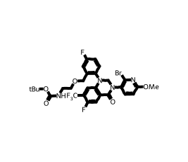 COc1ccc(N2CN(c3ccc(F)cc3COCCNC(=O)OC(C)(C)C)c3cc(C(F)(F)F)c(F)cc3C2=O)c(Br)n1